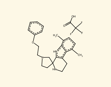 Cc1ccc(C)c2c3c([nH]c12)C1(CCN(CCOc2ccccc2)C1)NCC3.O=C(O)C(F)(F)F